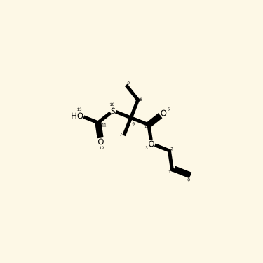 C=CCOC(=O)C(C)(CC)SC(=O)O